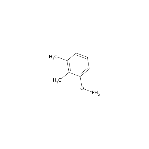 Cc1cccc(OP)c1C